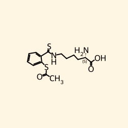 CC(=O)Sc1ccccc1C(=S)NCCCC[C@H](N)C(=O)O